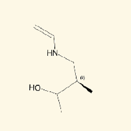 C=CNC[C@@H](C)C(C)O